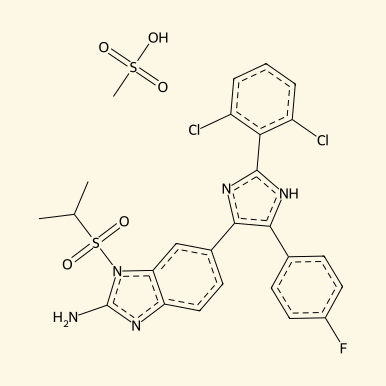 CC(C)S(=O)(=O)n1c(N)nc2ccc(-c3nc(-c4c(Cl)cccc4Cl)[nH]c3-c3ccc(F)cc3)cc21.CS(=O)(=O)O